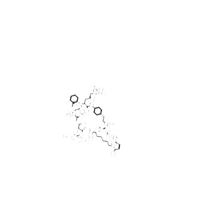 CC(C)(C)OC(=O)NCCc1ccc(NC(=O)C(CCCNN)NC(=O)[C@@H](Cc2ccccc2)NC(=O)C[C@@H]2O[C@H](CNC(=O)CCCCCN3C(=O)C=CC3=O)C3OC(C)(C)OC32)cc1